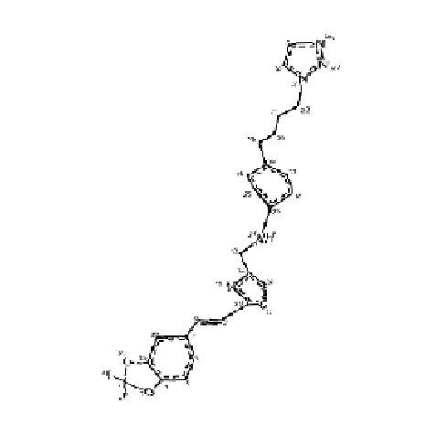 FC1(F)Oc2ccc(/C=C/c3nc(CNc4ccc(CCCCn5ccnn5)cc4)co3)cc2O1